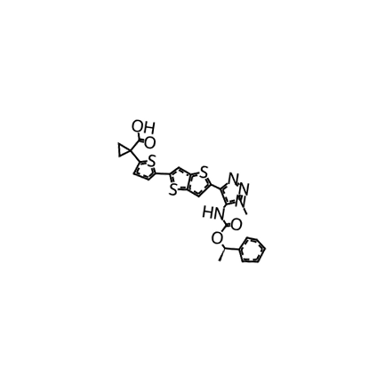 C[C@@H](OC(=O)Nc1c(-c2cc3sc(-c4ccc(C5(C(=O)O)CC5)s4)cc3s2)nnn1C)c1ccccc1